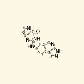 O=c1[nH]c(NC2CCc3c(cnc4[nH]ncc34)C2)nc2nc[nH]c12